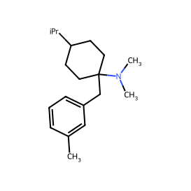 Cc1cccc(CC2(N(C)C)CCC(C(C)C)CC2)c1